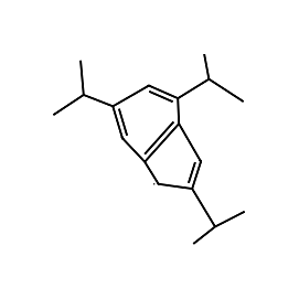 CC(C)C1=Cc2c(cc(C(C)C)cc2C(C)C)[CH]1